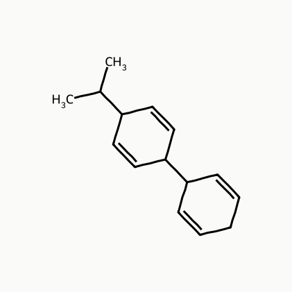 CC(C)C1C=CC(C2C=CCC=C2)C=C1